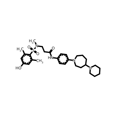 Cc1cc(O)cc(C)c1S(=O)(=O)N(C)CCC(=O)Nc1ccc(N2CCCC(N3CCCCC3)CC2)cc1